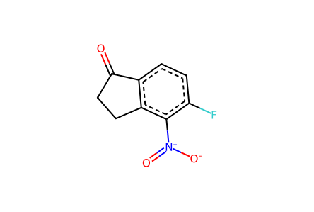 O=C1CCc2c1ccc(F)c2[N+](=O)[O-]